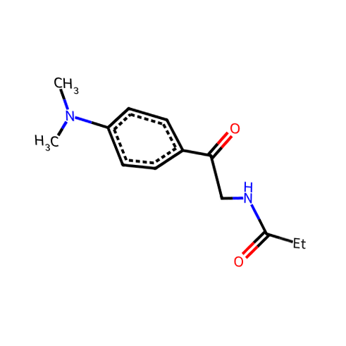 CCC(=O)NCC(=O)c1ccc(N(C)C)cc1